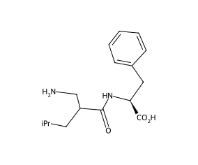 CC(C)CC(CN)C(=O)N[C@@H](Cc1ccccc1)C(=O)O